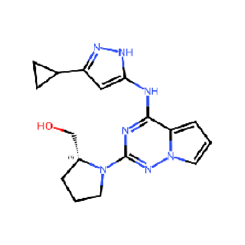 OC[C@H]1CCCN1c1nc(Nc2cc(C3CC3)n[nH]2)c2cccn2n1